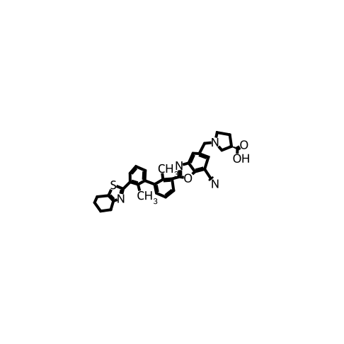 Cc1c(-c2nc3cc(CN4CC[C@@H](C(=O)O)C4)cc(C#N)c3o2)cccc1-c1cccc(-c2nc3c(s2)CCCC3)c1C